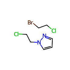 ClCCBr.ClCCn1cccn1